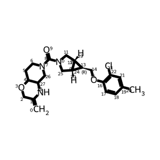 C=C1COC2CCN(C(=O)N3C[C@@H]4[C@@H](COc5ccc(C)cc5Cl)[C@@H]4C3)CC2N1